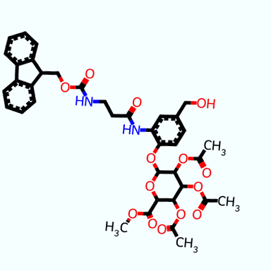 COC(=O)C1OC(Oc2ccc(CO)cc2NC(=O)CCNC(=O)OCC2c3ccccc3-c3ccccc32)C(OC(C)=O)C(OC(C)=O)C1OC(C)=O